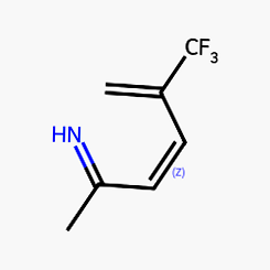 C=C(/C=C\C(C)=N)C(F)(F)F